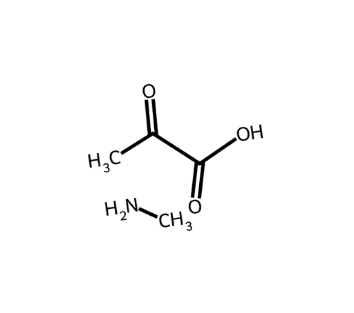 CC(=O)C(=O)O.CN